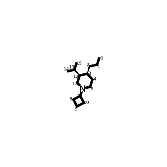 CCC[C@H]1CCN(C2CCC2)C[C@H]1C(C)C